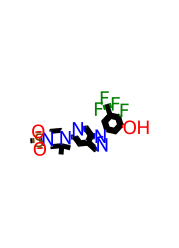 CC1(C)CN(S(C)(=O)=O)CCN1c1cc2cnn(-c3cc(O)c(F)c(C(F)(F)F)c3)c2cn1